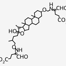 CC(CC[C@@]1(O)OC2CC3C4CCC5CC(OCN[C@@H](C=O)CCC(=O)O)CCC5(C)C4CCC3(C)C2[C@@H]1C)CON[C@@H](C=O)CCC(=O)O